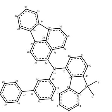 CC1(C)c2ccccc2-c2c(N(c3cccc(-c4ccccc4)c3)c3ccc4c5c(cccc35)-c3ccccc3-4)cccc21